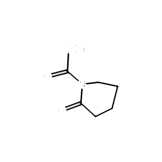 CC(C)COC(=O)N1CCCCC1=O